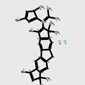 C[C](C)=[Zr+2]([C]1=CC(C(C)(C)C)=CC1C)[C]1=C(C(C)(C)C)c2cc3c(cc2C1(C)C)Cc1cc2c(cc1-3)C(C(C)(C)C)=CC2(C)C.[Cl-].[Cl-]